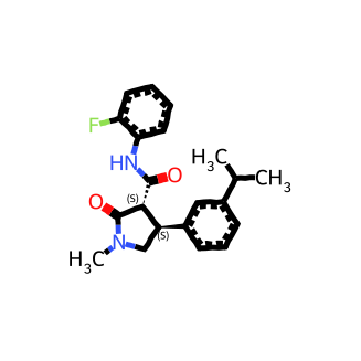 CC(C)c1cccc([C@H]2CN(C)C(=O)[C@@H]2C(=O)Nc2ccccc2F)c1